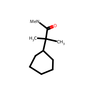 CNC(=O)C(C)(C)C1CCCCC1